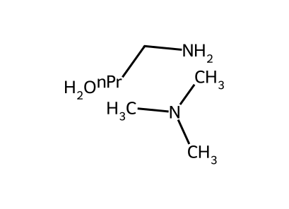 CCCCN.CN(C)C.O